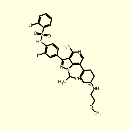 COCCN[C@H]1CC=C(c2cnc(N)c3c(-c4ccc(NS(=O)(=O)c5ccccc5Cl)c(F)c4)nn(C(C)C)c23)CC1